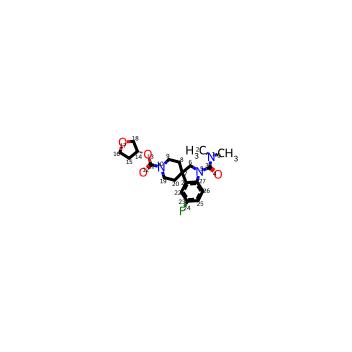 CN(C)C(=O)N1CC2(CCN(C(=O)O[C@@H]3CCOC3)CC2)c2cc(F)ccc21